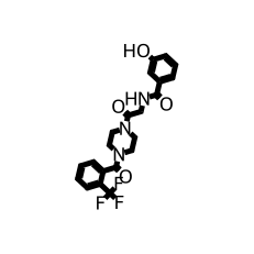 O=C(NCC(=O)N1CCN(C(=O)c2ccccc2C(F)(F)F)CC1)c1cccc(O)c1